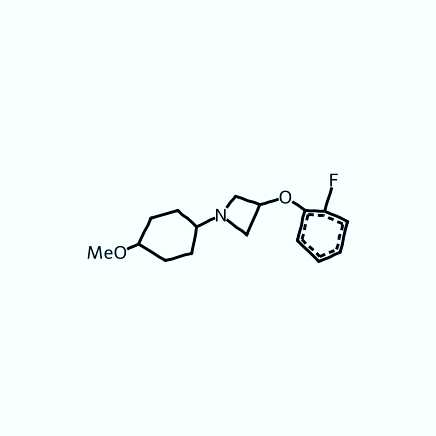 COC1CCC(N2CC(Oc3ccccc3F)C2)CC1